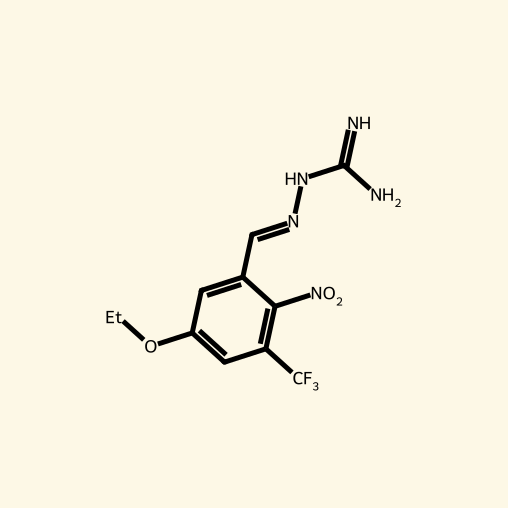 CCOc1cc(C=NNC(=N)N)c([N+](=O)[O-])c(C(F)(F)F)c1